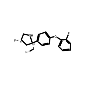 N#CC[C@]1(c2ccc(Oc3ccccc3F)cc2)C[C@H](F)CN1